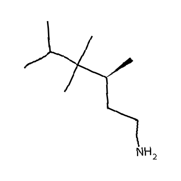 CC(C)C(C)(C)[C@@H](C)CCN